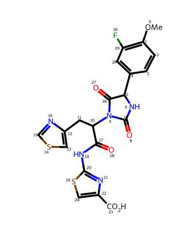 COc1ccc(C2NC(=O)N(C(Cc3cscn3)C(=O)Nc3nc(C(=O)O)cs3)C2=O)cc1F